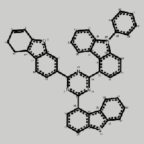 C1=Cc2oc3cc(-c4nc(-c5cccc6sc7ccccc7c56)nc(-c5cccc6c5c5ccccc5n6-c5ccccc5)n4)ccc3c2CC1